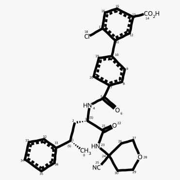 C[C@@H](C[C@H](NC(=O)c1ccc(-c2cc(C(=O)O)ccc2Cl)cc1)C(=O)NC1(C#N)CCOCC1)c1ccccc1